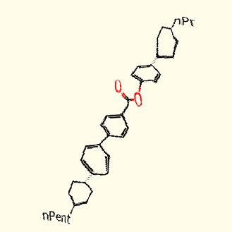 CCCCC[C@H]1CC[C@H](c2ccc(-c3ccc(C(=O)Oc4ccc([C@H]5CC[C@H](CCC)CC5)cc4)cc3)cc2)CC1